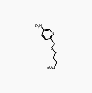 CCCCCCCCCC[CH]SSc1ccc([N+](=O)[O-])cn1